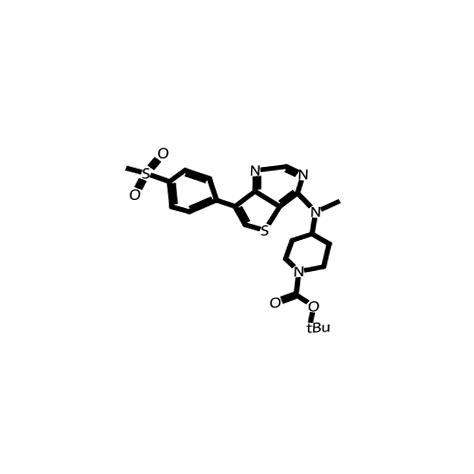 CN(c1ncnc2c(-c3ccc(S(C)(=O)=O)cc3)csc12)C1CCN(C(=O)OC(C)(C)C)CC1